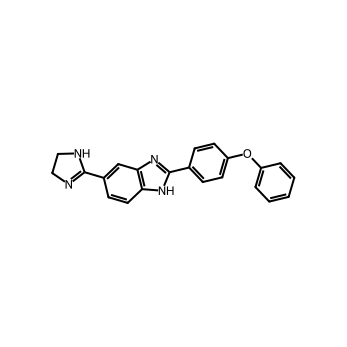 c1ccc(Oc2ccc(-c3nc4cc(C5=NCCN5)ccc4[nH]3)cc2)cc1